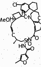 CO[C@H]1/C=C/C[C@H](C)C[S@@](=O)(NC(=O)c2coc(C)c2)=NC(=O)c2ccc3c(c2)N(C[C@@H]2CC[C@H]21)C[C@@]1(CCCc2cc(Cl)ccc21)CO3